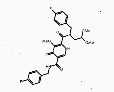 COc1c(C(=O)N(Cc2ccc(F)cc2)CC(OC)OC)[nH]cc(C(=O)NCc2ccc(F)cc2)c1=O